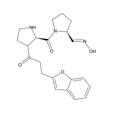 O=C(CCc1cc2ccccc2o1)C1CCN[C@H]1C(=O)N1CCC[C@H]1C=NO